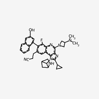 CN(C)C1CN(c2nc3c(F)c(-c4cc(O)cc5ccccc45)c(CCC#N)cc3c3c2nc(C2CC2)n3C2C3CNC2C3)C1